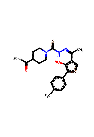 COC(=O)C1CCN(C(=S)NN=C(C)c2csc(-c3ccc(C(F)(F)F)cc3)c2O)CC1